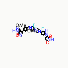 COc1cc(-c2cn(C)c(=O)c3[nH]ncc23)cc(OC)c1CN1CCC(N2CCN(c3ccc(NC4CCC(=O)NC4=O)cc3F)CC2)C(F)(F)C1